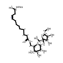 CCCCCC[C@@H](O)C/C=C\CCCCCCCC(=O)OC[C@H]1O[C@H](O[C@]2(CO)O[C@H](CO)[C@@H](O)[C@@H]2O)[C@H](O)[C@@H](O)[C@@H]1O